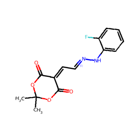 CC1(C)OC(=O)C(=C/C=N/Nc2ccccc2F)C(=O)O1